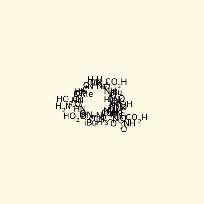 CCC(C)CCCCCCC(=O)NC(Cc1c[nH]c2ccccc12)C(=O)NC(CCC(=O)O)C(=O)NC(C(=O)NC1C(=O)N(C)CC(=O)NC(C)C(=O)NC(CC(=O)O)C(=O)NC(CCCCN)C(=O)NC(C(OC)C(=O)O)C(=O)NCC(=O)NC(C)C(=O)NC(CCC(=O)O)C(=O)NC(C(C)CC)C(=O)OC1C)C(O)C(N)=O